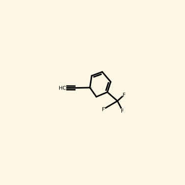 C#C[C]1C=CC=C(C(F)(F)F)C1